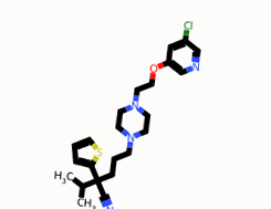 CC(C)C(C#N)(CCCN1CCN(CCOc2cncc(Cl)c2)CC1)c1cccs1